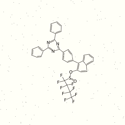 O=S(Oc1ccc2ccccc2c1-c1ccc(-c2nc(-c3ccccc3)nc(-c3ccccc3)n2)cc1)C(F)(F)C(F)(F)C(F)(F)C(F)(F)F